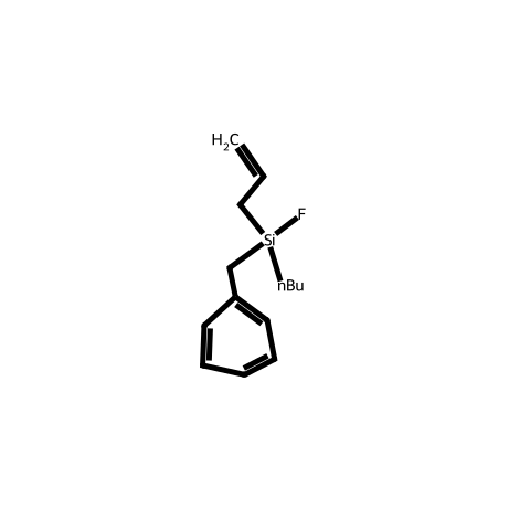 C=CC[Si](F)(CCCC)Cc1ccccc1